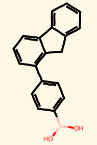 OB(O)c1ccc(-c2cccc3c2Cc2ccccc2-3)cc1